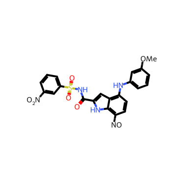 COc1cccc(Nc2ccc(N=O)c3[nH]c(C(=O)NS(=O)(=O)c4cccc([N+](=O)[O-])c4)cc23)c1